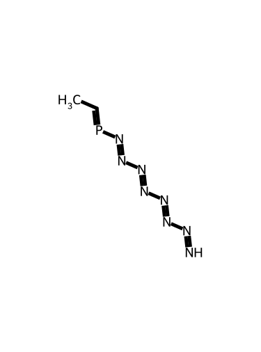 CC=PN=NN=NN=NN=N